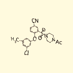 CC(=O)N1CCN(S(=O)(=O)c2cc(C#N)ccc2Oc2cc(C)cc(Cl)c2)CC1